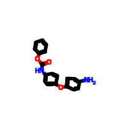 Nc1ccc(Oc2ccc(NC(=O)Oc3ccccc3)cc2)cc1